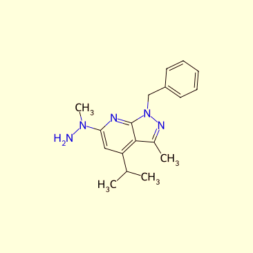 Cc1nn(Cc2ccccc2)c2nc(N(C)N)cc(C(C)C)c12